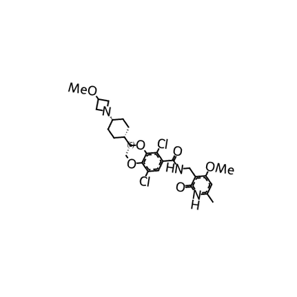 COc1cc(C)[nH]c(=O)c1CNC(=O)c1cc(Cl)c2c(c1Cl)O[C@@H]([C@H]1CC[C@@H](N3CC(OC)C3)CC1)CO2